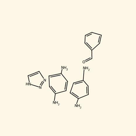 Nc1ccc(N)cc1.Nc1ccc(N)cc1.O=Cc1ccccc1.c1c[nH]nn1